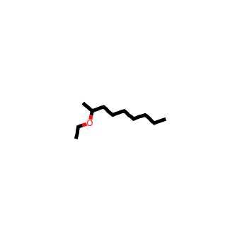 CCCCCCC[C](C)OCC